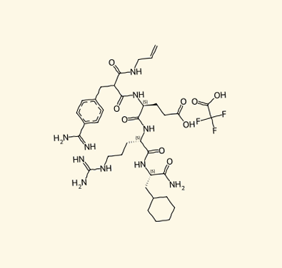 C=CCNC(=O)C(Cc1ccc(C(=N)N)cc1)C(=O)N[C@@H](CCC(=O)O)C(=O)N[C@@H](CCCNC(=N)N)C(=O)N[C@@H](CC1CCCCC1)C(N)=O.O=C(O)C(F)(F)F